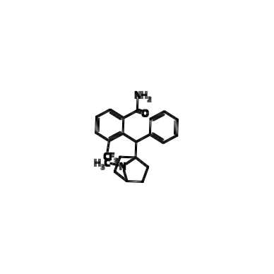 CN1C2CCC1(C(c1ccccc1)c1c(C(N)=O)cccc1C(F)(F)F)CC2